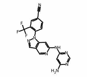 N#Cc1ccc(-n2ncc3cnc(Nc4cc(N)ncn4)cc32)c(C(F)(F)F)c1